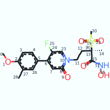 COc1ccc(-c2cc(=O)n(CC[C@](C)(C(=O)NO)S(C)(=O)=O)cc2F)cc1C